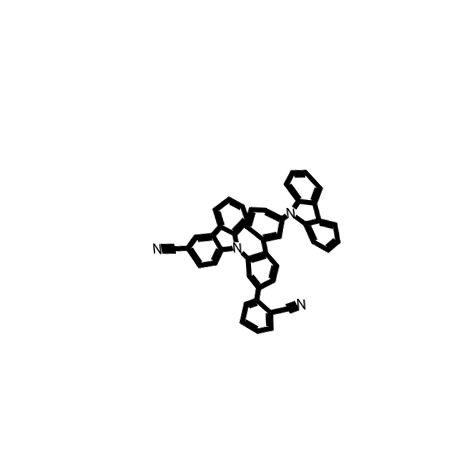 N#Cc1ccc2c(c1)c1ccccc1n2-c1cc(-c2ccccc2C#N)ccc1-c1cccc(-n2c3ccccc3c3ccccc32)c1